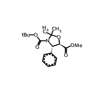 COC(=O)[C@@H]1OC(C)(C)N(C(=O)OC(C)(C)C)[C@H]1c1ccccc1